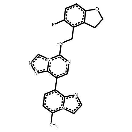 Cc1ccc(-c2cnc(NCc3c(F)ccc4c3CCO4)n3cnnc23)c2nccn12